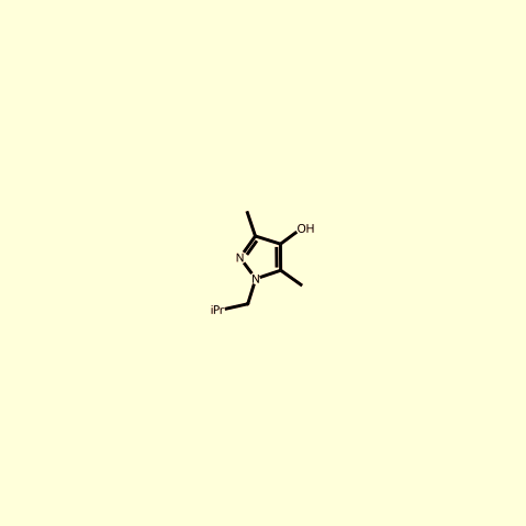 Cc1nn(CC(C)C)c(C)c1O